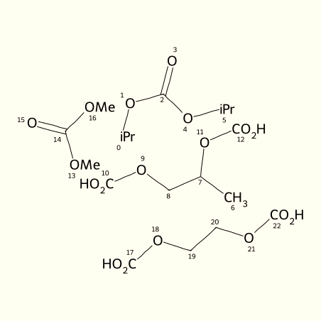 CC(C)OC(=O)OC(C)C.CC(COC(=O)O)OC(=O)O.COC(=O)OC.O=C(O)OCCOC(=O)O